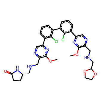 COc1nc(-c2cccc(-c3cccc(-c4cnc(CNC[C@@H]5CCC(=O)N5)c(OC)n4)c3Cl)c2Cl)cnc1CNCC1OCCO1